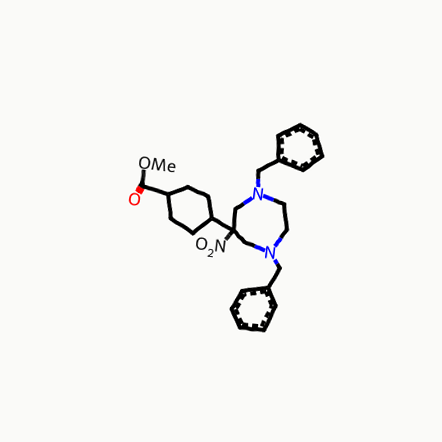 COC(=O)C1CCC(C2([N+](=O)[O-])CN(Cc3ccccc3)CCN(Cc3ccccc3)C2)CC1